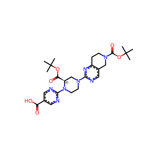 CC(C)(C)OC(=O)[C@H]1CN(c2ncc3c(n2)CCN(C(=O)OC(C)(C)C)C3)CCN1c1ncc(C(=O)O)cn1